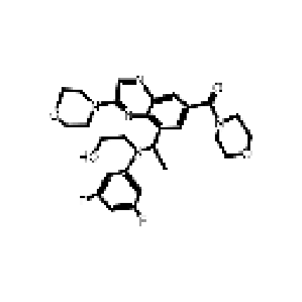 CC(c1cc(C(=O)N2CCOCC2)cc2ncc(N3CCOCC3)nc12)N(CCO)c1cc(F)cc(F)c1